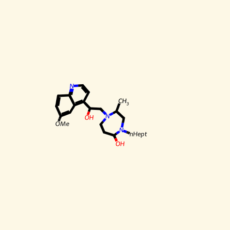 CCCCCCCN1CC(C)N(CC(O)c2ccnc3ccc(OC)cc23)CCC1O